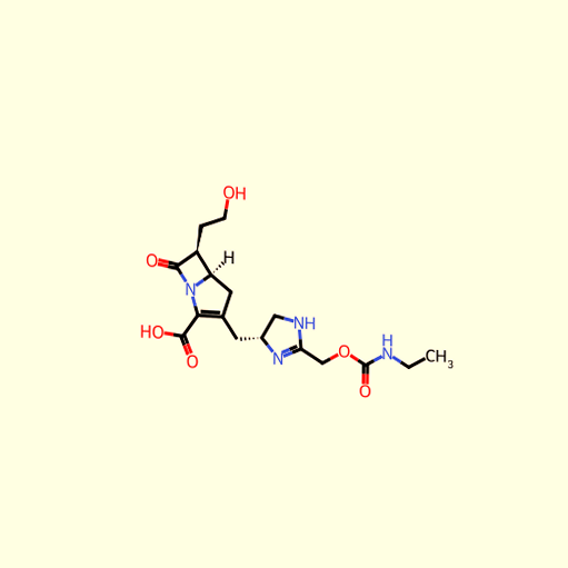 CCNC(=O)OCC1=N[C@H](CC2=C(C(=O)O)N3C(=O)[C@@H](CCO)[C@H]3C2)CN1